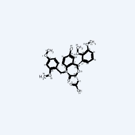 COc1ccc(CN2C(=O)[C@@H](CC(=O)O)O[C@H](c3cccc(OC)c3OC)c3cc(Cl)ccc32)c(OC)c1